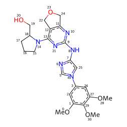 COc1cc(-n2cnc(Nc3nc4c(c(N5CCCC5CO)n3)COC4)c2)cc(OC)c1OC